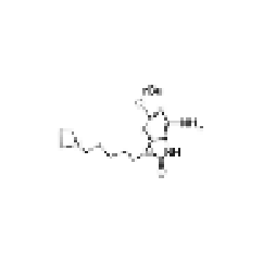 CCCCOc1nc(N)c2[nH]c(=O)n(CCCCCN3CCC3)c2n1